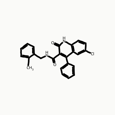 Cc1ccccc1CNC(=O)c1c(-c2ccccc2)c2cc(Cl)ccc2[nH]c1=O